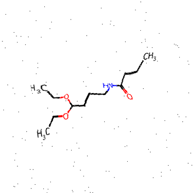 CCCC(=O)NCCCC(OCC)OCC